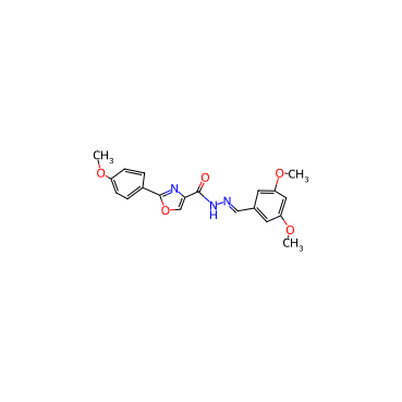 COc1ccc(-c2nc(C(=O)NN=Cc3cc(OC)cc(OC)c3)co2)cc1